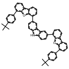 CC(C)(C)c1ccc(-c2cccc3c2oc2c(-c4ccc5[nH]c6ccc(-c7cccc8c7oc7c(-c9ccc(C(C)(C)C)cc9)cccc78)cc6c5c4)cccc23)cc1